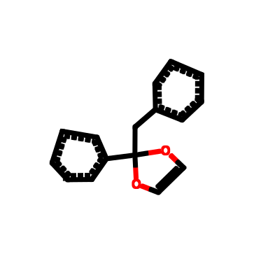 [c]1cccc(C2(Cc3ccccc3)OC=CO2)c1